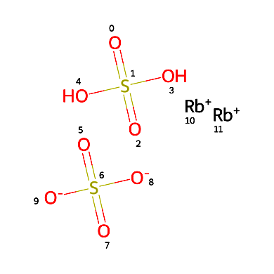 O=S(=O)(O)O.O=S(=O)([O-])[O-].[Rb+].[Rb+]